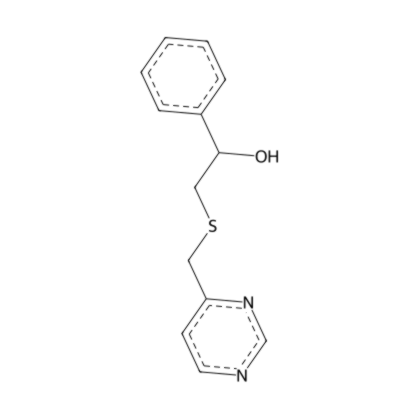 OC(CSCc1ccncn1)c1ccccc1